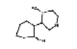 CC(=O)N1CCNCC1[C@@H]1CCCC[C@@H]1O